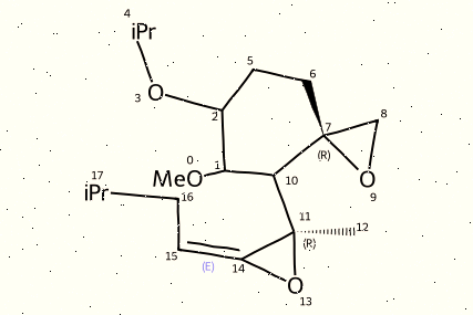 COC1C(OC(C)C)CC[C@]2(CO2)C1[C@@]1(C)O/C1=C/CC(C)C